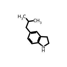 CC(C)Cc1ccc2c(c1)CCN2